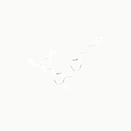 OCCCCc1ccc(Cc2cc([C@H]3C[C@@H](O)C[C@@H](CO)O3)ccc2Cl)cc1